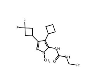 CC(C)CNC(=O)Nc1c(C2CCC2)c(C2CC(F)(F)C2)nn1C